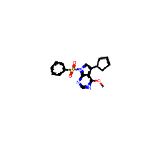 COc1ncnc2c1c(C1CCCC1)cn2S(=O)(=O)c1ccccc1